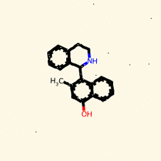 Cc1cc(O)c2ccccc2c1C1NCCc2ccccc21